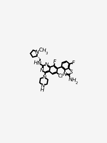 CN1CCC[C@H]1CNc1nc(N2CCNCC2)c2cc(Cl)c(-c3ccc(F)c4sc(N)nc34)c(F)c2n1